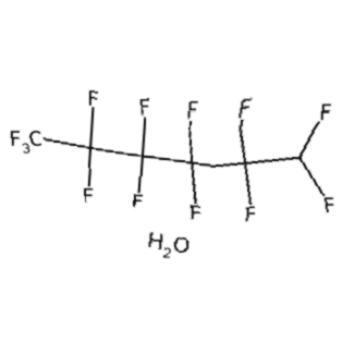 FC(F)C(F)(F)C(F)(F)C(F)(F)C(F)(F)C(F)(F)F.O